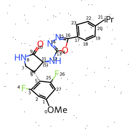 COc1cc(F)c([C@@H]2CNC(=O)[C@H]2Nc2nnc(-c3ccc(C(C)C)cc3)o2)c(F)c1